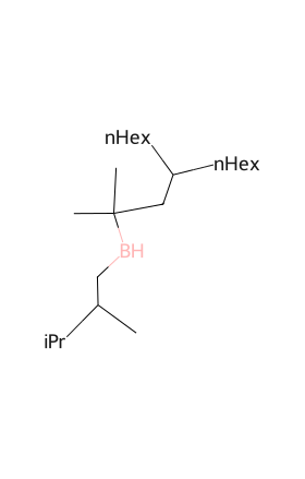 CCCCCCC(CCCCCC)CC(C)(C)BCC(C)C(C)C